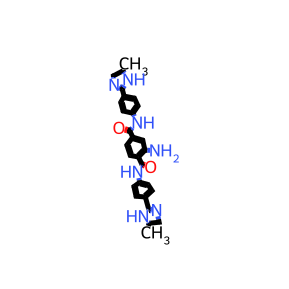 CC1CN=C(c2ccc(NC(=O)c3ccc(C(=O)Nc4ccc(C5=NCC(C)N5)cc4)c(N)c3)cc2)N1